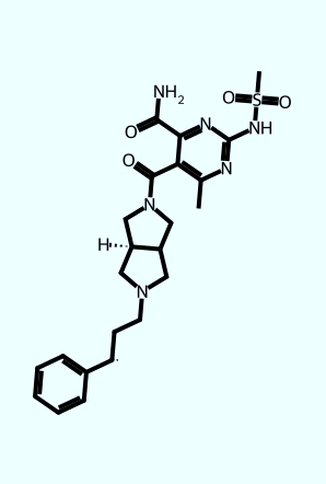 Cc1nc(NS(C)(=O)=O)nc(C(N)=O)c1C(=O)N1CC2CN(CC[CH]c3ccccc3)C[C@H]2C1